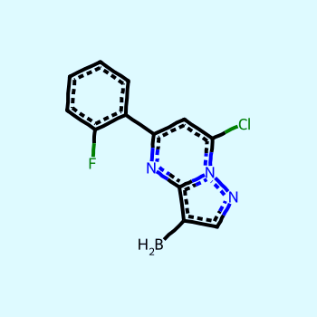 Bc1cnn2c(Cl)cc(-c3ccccc3F)nc12